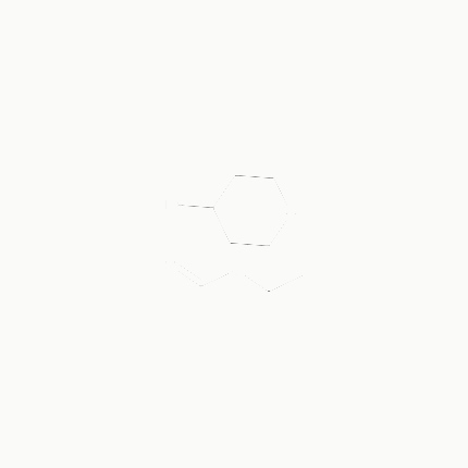 OC1CCOCC1.[CH2]COC=O